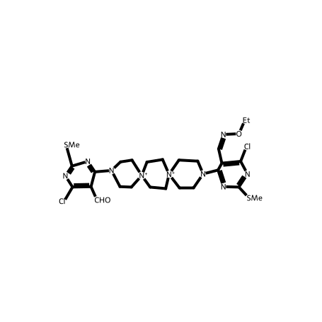 CCO/N=C\c1c(Cl)nc(SC)nc1N1CC[N+]2(CC1)CC[N+]1(CCN(c3nc(SC)nc(Cl)c3C=O)CC1)CC2